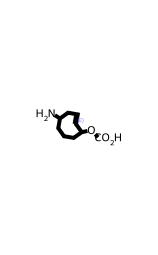 NC1C/C=C/C(OC(=O)O)CCC1